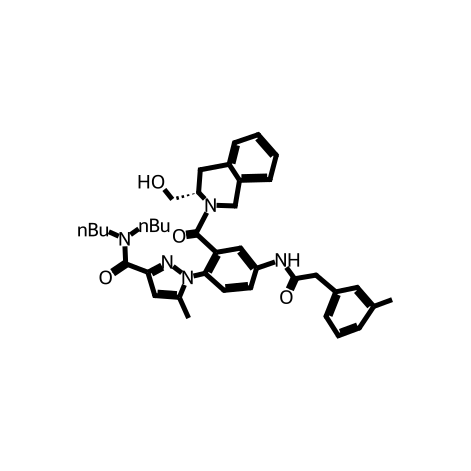 CCCCN(CCCC)C(=O)c1cc(C)n(-c2ccc(NC(=O)Cc3cccc(C)c3)cc2C(=O)N2Cc3ccccc3C[C@H]2CO)n1